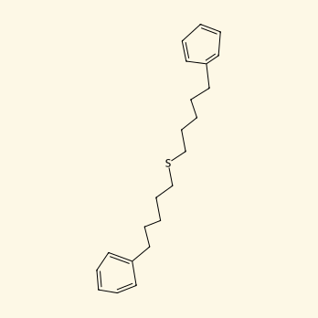 c1ccc(CCCCCSCCCCCc2ccccc2)cc1